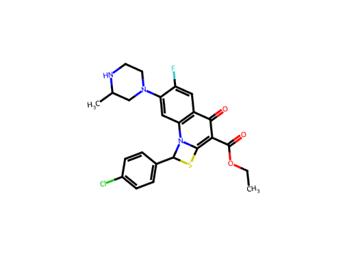 CCOC(=O)c1c2n(c3cc(N4CCNC(C)C4)c(F)cc3c1=O)C(c1ccc(Cl)cc1)S2